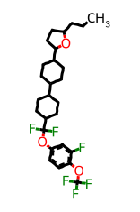 CCCC1CCC(C2CCC(C3CCC(C(F)(F)Oc4ccc(OC(F)(F)F)c(F)c4)CC3)CC2)O1